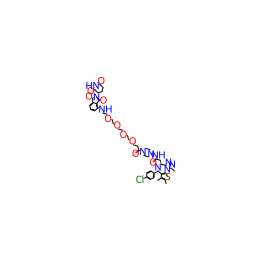 Cc1sc2c(c1C)C(c1ccc(Cl)cc1)=N[C@@H](CC(=O)NN1CCN(C(=O)CCOCCOCCOCCOCCNc3cccc4c3C(=O)N(C3CCC(=O)NC3=O)C4=O)CC1)c1nnc(C)n1-2